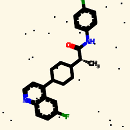 C[C@@H](C(=O)Nc1ccc(F)cc1)C1CCC(c2ccnc3ccc(F)cc23)CC1